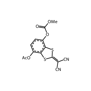 COC(=O)Oc1ccc(OC(C)=O)c2c1SC(=C(C#N)C#N)S2